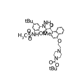 COc1c(NS(C)(=O)=O)cc(C(C)(C)C)cc1N(N)C(=O)C(=O)c1ccc(OCCN2CCN(C(=O)OC(C)(C)C)CC2)c2ccccc12